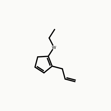 C=CCC1=[C]([W][CH2]C)CC=C1